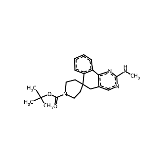 CNc1ncc2c(n1)-c1ccccc1C1(CCN(C(=O)OC(C)(C)C)CC1)C2